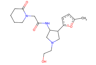 Cc1ccc(C2CN(CCO)CC2NC(=O)CN2CCCCC2=O)o1